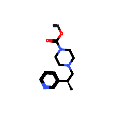 C[C@@H](CN1CCN(C(=O)OC(C)(C)C)CC1)c1cccnc1